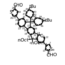 CCCCCCCCC1(CCCCCCCC)c2cc(-c3csc(C=O)c3)ccc2-c2cc3c(cc21)-c1ccc(-c2csc(C=O)c2)cc1C3(c1ccc(C(C)(C)C)cc1)c1ccc(C(C)(C)C)cc1